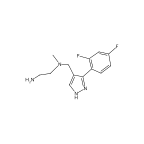 CN(CCN)Cc1c[nH]nc1-c1ccc(F)cc1F